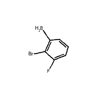 Bc1cccc(F)c1Br